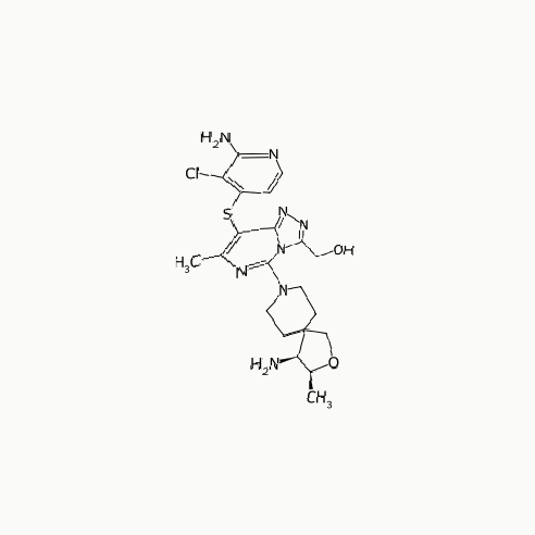 Cc1nc(N2CCC3(CC2)CO[C@@H](C)[C@H]3N)n2c(CO)nnc2c1Sc1ccnc(N)c1Cl